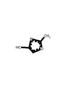 [CH]c1coc(C)n1